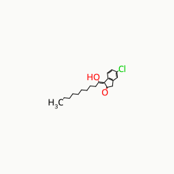 CCCCCCCCCC(O)=C1C(=O)Cc2cc(Cl)ccc21